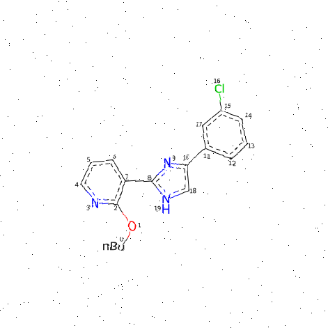 CCCCOc1ncccc1-c1nc(-c2cccc(Cl)c2)c[nH]1